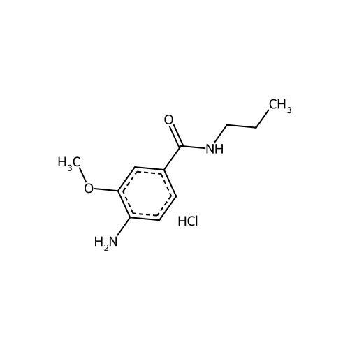 CCCNC(=O)c1ccc(N)c(OC)c1.Cl